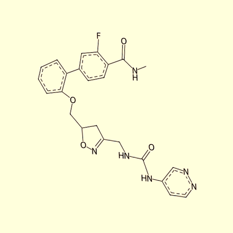 CNC(=O)c1ccc(-c2ccccc2OCC2CC(CNC(=O)Nc3ccnnc3)=NO2)cc1F